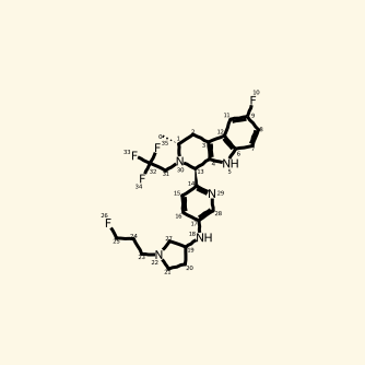 C[C@@H]1Cc2c([nH]c3ccc(F)cc23)[C@@H](c2ccc(NC3CCN(CCCF)C3)cn2)N1CC(F)(F)F